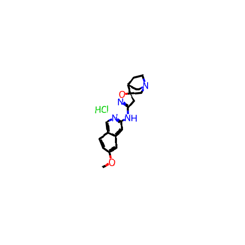 COc1ccc2cnc(NC3=NO[C@@]4(C3)CN3CCC4CC3)cc2c1.Cl